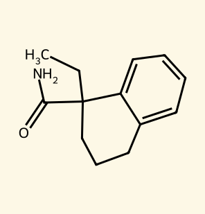 CCC1(C(N)=O)CCCc2ccccc21